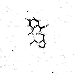 CCN1CCCC1CNC(=O)c1ccc(Cl)cc1OC